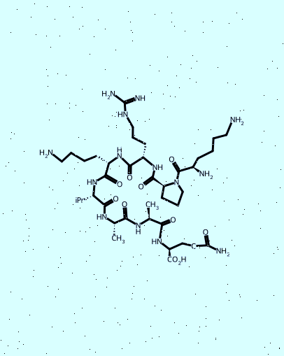 CC(C)[C@H](NC(=O)[C@H](CCCCN)NC(=O)[C@H](CCCNC(=N)N)NC(=O)[C@@H]1CCCN1C(=O)[C@H](N)CCCCN)C(=O)N[C@@H](C)C(=O)N[C@@H](C)C(=O)N[C@@H](CCC(N)=O)C(=O)O